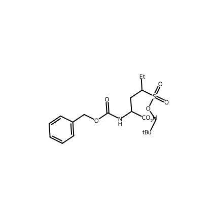 CCC(CC(NC(=O)OCc1ccccc1)C(=O)O)S(=O)(=O)OCC(C)(C)C